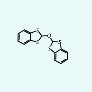 c1ccc2c(c1)SC(OC1Sc3ccccc3S1)S2